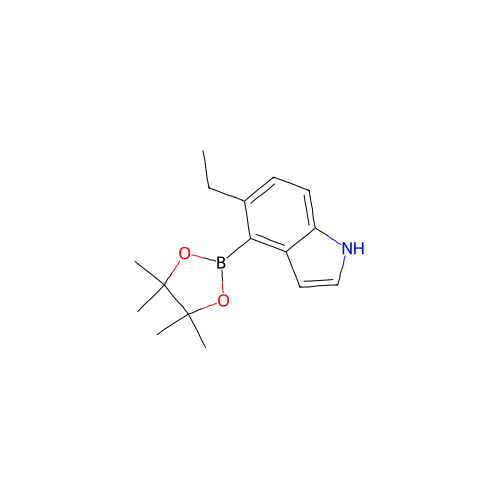 CCc1ccc2[nH]ccc2c1B1OC(C)(C)C(C)(C)O1